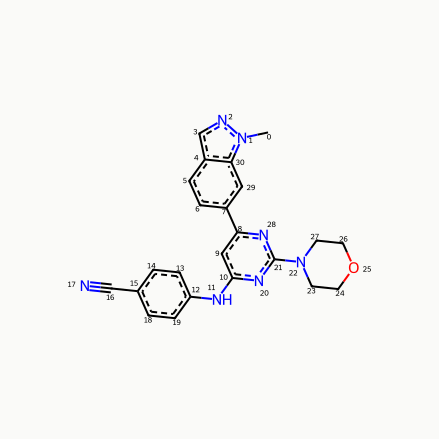 Cn1ncc2ccc(-c3cc(Nc4ccc(C#N)cc4)nc(N4CCOCC4)n3)cc21